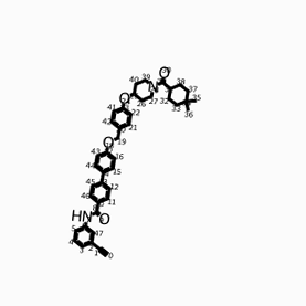 C#Cc1cccc(NC(=O)c2ccc(-c3ccc(OCc4ccc(OC5CCN(C(=O)C6CCC(C)(C)CC6)CC5)cc4)cc3)cc2)c1